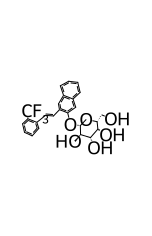 OC[C@H]1O[C@@H](Oc2cc3ccccc3cc2/C=C/c2ccccc2C(F)(F)F)[C@H](O)[C@@H](O)[C@@H]1O